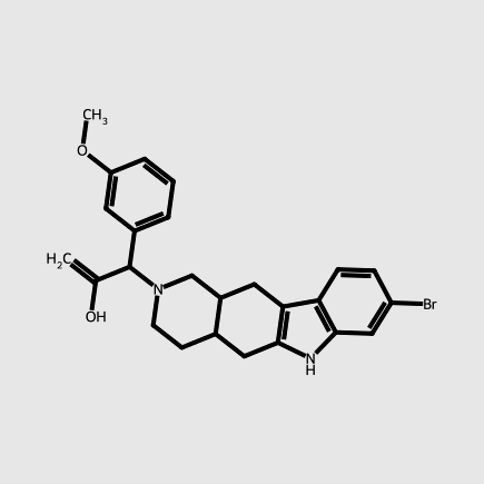 C=C(O)C(c1cccc(OC)c1)N1CCC2Cc3[nH]c4cc(Br)ccc4c3CC2C1